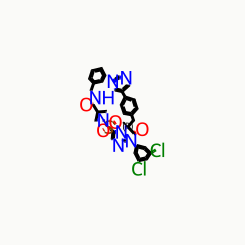 C[C@@]1(Cc2ccc(-c3cncnc3)cc2)C(=O)N(c2cc(Cl)cc(Cl)c2)c2ncc(S(=O)(=O)N3CC(C(=O)NCc4ccccc4)C3)n21